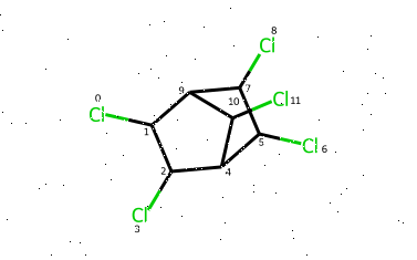 ClC1C(Cl)C2C(Cl)C(Cl)C1C2Cl